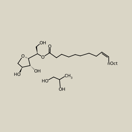 CC(O)CO.CCCCCCCC/C=C\CCCCCCCC(=O)O[C@H](CO)[C@H]1OC[C@H](O)[C@H]1O